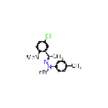 CCCN(/N=C(\C)c1cc(Cl)ccc1NC)c1ccc(C)cc1